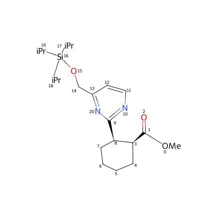 COC(=O)[C@H]1CCCC[C@H]1c1nccc(CO[Si](C(C)C)(C(C)C)C(C)C)n1